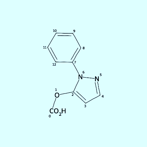 O=C(O)Oc1ccnn1-c1ccccc1